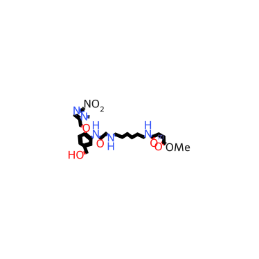 COC(=O)/C=C\C(=O)NCCCCCCNCC(=O)Nc1cc(CO)ccc1OCc1cnc([N+](=O)[O-])n1C